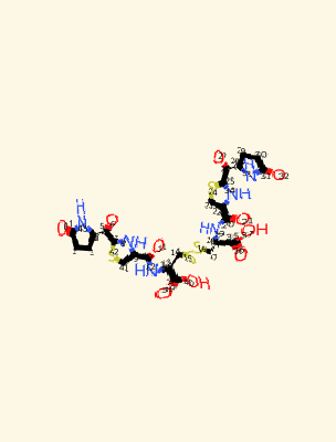 O=C1CC[C@@H](C(=O)C2NC(C(=O)N[C@@H](CSSC[C@H](NC(=O)C3CSC(C(=O)[C@@H]4CCC(=O)N4)N3)C(=O)O)C(=O)O)CS2)N1